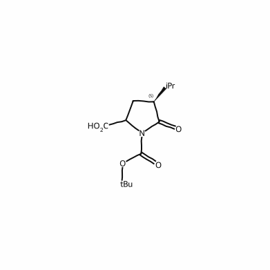 CC(C)[C@@H]1CC(C(=O)O)N(C(=O)OC(C)(C)C)C1=O